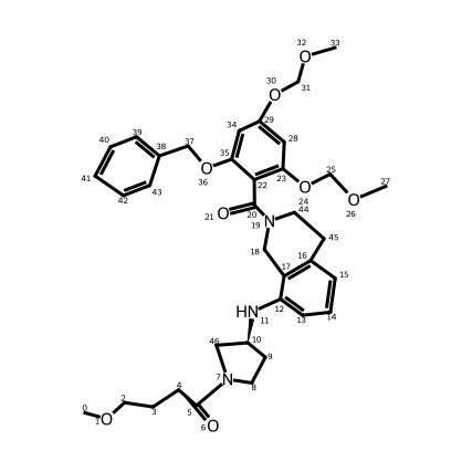 COCCCC(=O)N1CC[C@H](Nc2cccc3c2CN(C(=O)c2c(OCOC)cc(OCOC)cc2OCc2ccccc2)CC3)C1